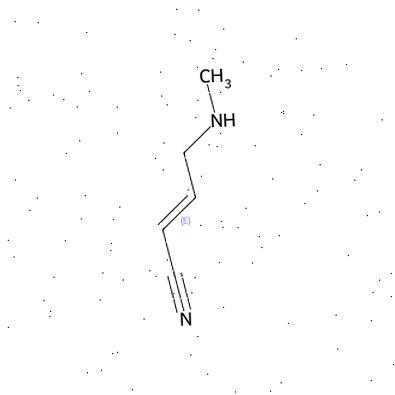 CNC/C=C/C#N